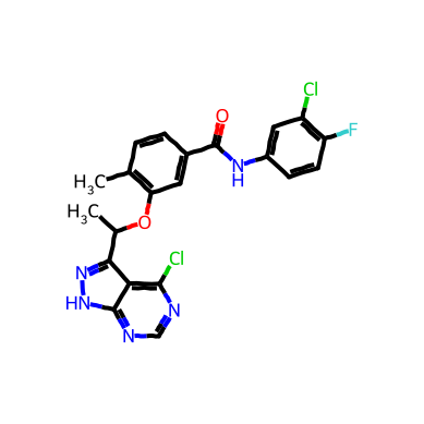 Cc1ccc(C(=O)Nc2ccc(F)c(Cl)c2)cc1OC(C)c1n[nH]c2ncnc(Cl)c12